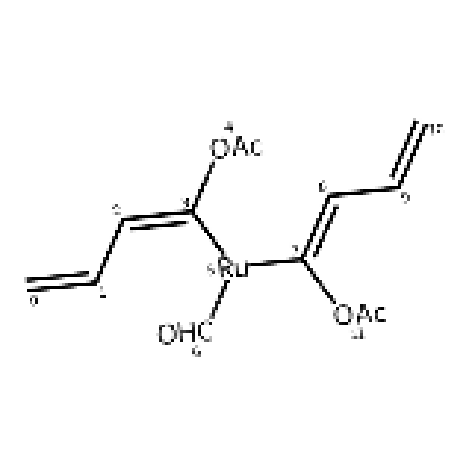 C=CC=[C](OC(C)=O)[Ru]([CH]=O)[C](=CC=C)OC(C)=O